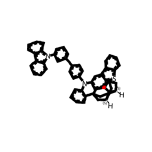 c1cc(-c2ccc(N(c3ccc4sc5ccccc5c4c3)c3ccccc3C34CC5C6C[C@@H](C3)C5[C@@H](C6)C4)cc2)cc(-n2c3ccccc3c3ccccc32)c1